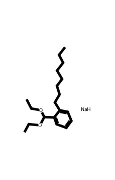 CCCCCCCCc1ccccc1C(OCC)OCC.[NaH]